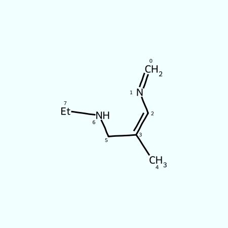 C=N/C=C(/C)CNCC